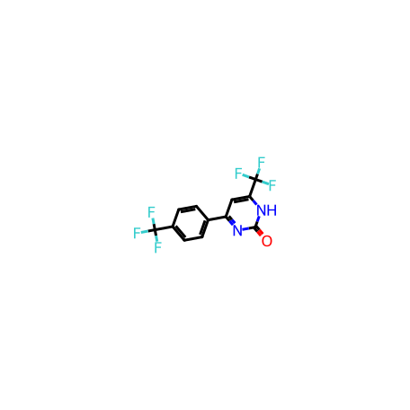 O=c1nc(-c2ccc(C(F)(F)F)cc2)cc(C(F)(F)F)[nH]1